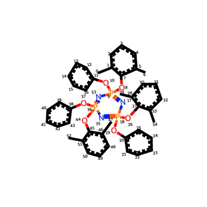 Cc1cccc(C)c1OP1(Oc2ccccc2)=NP(Oc2ccccc2)(Oc2c(C)cccc2C)=NP(Oc2ccccc2)(Oc2c(C)cccc2C)=N1